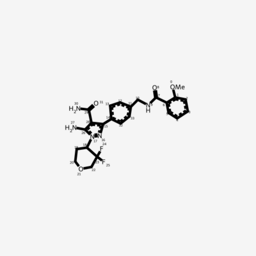 COc1ccccc1C(=O)NCc1ccc(-c2nn(C3CCOCC3(F)F)c(N)c2C(N)=O)cc1